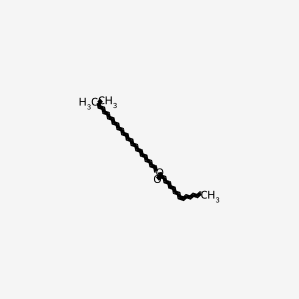 CCCCCC/C=C\CCCCCCCC(=O)OCCCCCCCCCCCCCCCCCCCCCCCCCC(C)C